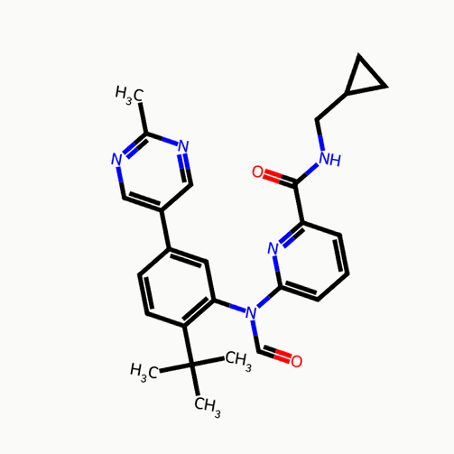 Cc1ncc(-c2ccc(C(C)(C)C)c(N(C=O)c3cccc(C(=O)NCC4CC4)n3)c2)cn1